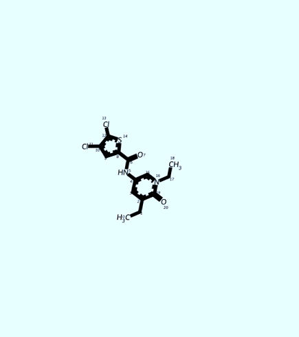 CCc1cc(NC(=O)c2cc(Cl)c(Cl)s2)cn(CC)c1=O